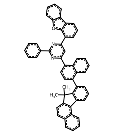 CC1(C)c2ccc3ccccc3c2-c2cccc(-c3ccc(-c4cc(-c5cccc6c5oc5ccccc56)nc(-c5ccccc5)n4)c4ccccc34)c21